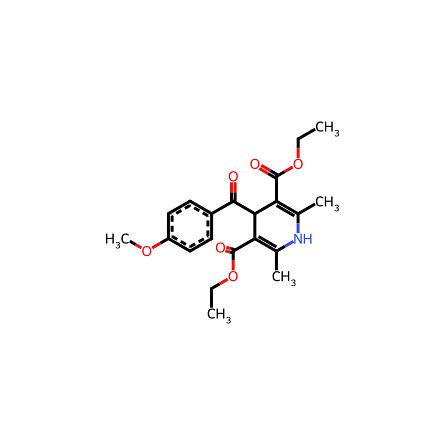 CCOC(=O)C1=C(C)NC(C)=C(C(=O)OCC)C1C(=O)c1ccc(OC)cc1